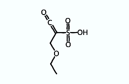 CCOCC(=C=O)S(=O)(=O)O